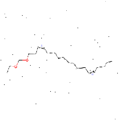 CCCC/C=C\CCCCCCCC/C=C\CCOCOCC